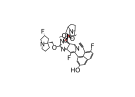 C#Cc1c(F)ccc2cc(O)cc(-c3ncc4c(N5CC6CCC(C5)N6P(=O)(OC)OC)nc(OC[C@@]56CCCN5C[C@H](F)C6)nc4c3F)c12